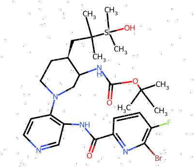 CC(C)(C)OC(=O)NC1CN(c2ccncc2NC(=O)c2ccc(F)c(Br)n2)CC[C@H]1CC(C)(C)[Si](C)(C)O